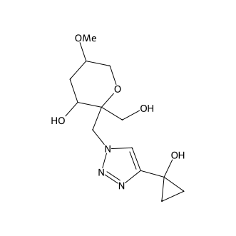 COC1COC(CO)(Cn2cc(C3(O)CC3)nn2)C(O)C1